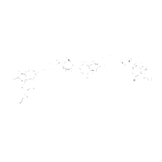 Cn1c(=O)n([C@@H]2CCC(=O)NC2=O)c2ccc(CCCCNc3ncc(-c4ccc5cn(C6CCC(CNC(=O)c7cc(F)c(O)c(F)c7F)CC6)nc5c4)cn3)cc21